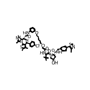 Cc1ncsc1-c1ccc(CNC(=O)[C@@H]2C[C@@H](O)CN2C(=O)[C@@H](NC(=O)COCCCCCOc2cccc(NC(=O)C[C@@H]3N=C(c4ccc(Cl)cc4)c4c(sc(C)c4C)-n4c(C)nnc43)c2)C(C)(C)C)cc1